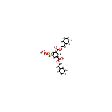 COOOSc1cc(C(=O)OCCC2CCCCC2)cc(C(=O)OCCC2CCCCC2)c1